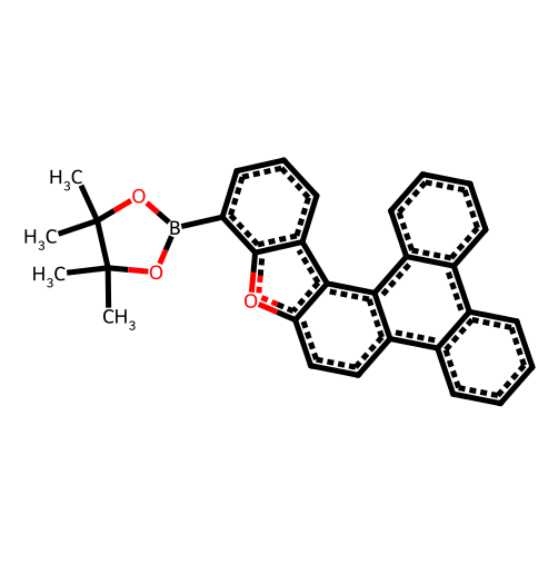 CC1(C)OB(c2cccc3c2oc2ccc4c5ccccc5c5ccccc5c4c23)OC1(C)C